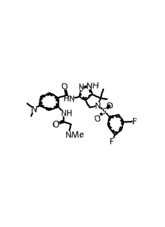 CNCC(=O)Nc1cc(N(C)C)ccc1C(=O)Nc1n[nH]c2c1CN(S(=O)(=O)c1cc(F)cc(F)c1)C2(C)C